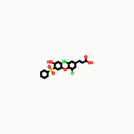 O=C(O)/C=C/c1cc(Cl)c(Oc2ccc(O)c(S(=O)(=O)c3ccccc3)c2)c(Cl)c1